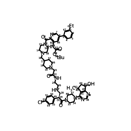 CCc1cccc(-c2cnc(C(=O)N3CCN(CC4CCN(CC(=O)NCCNC[C@@H](C(=O)N5CCN(c6ncnc7c6[C@H](C)C[C@H]7O)CC5)c5ccc(Cl)cc5)CC4)CC3)c(NC(=O)OC(C)(C)C)c2)c1